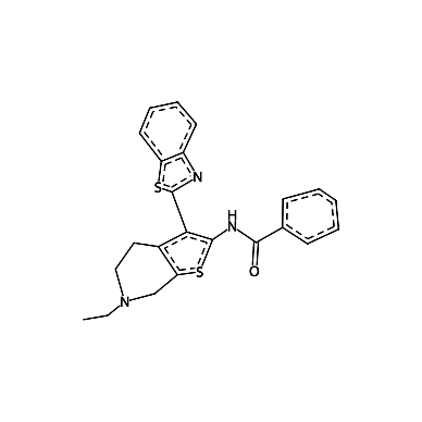 CCN1CCc2c(sc(NC(=O)c3ccccc3)c2-c2nc3ccccc3s2)C1